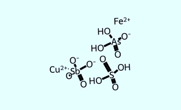 O=S(=O)(O)O.O=[As]([O-])(O)O.[Cu+2].[Fe+2].[O]=[Sb]([O-])([O-])[O-]